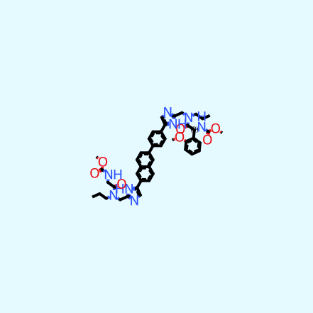 CCCN(Cc1ncc(-c2ccc3cc(-c4ccc(-c5cnc(CN(CCC)C(=O)[C@H](NC(=O)OC)c6ccccc6OC)[nH]5)cc4)ccc3c2)[nH]1)C(=O)CNC(=O)OC